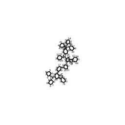 c1ccc(N(c2ccccc2)c2cc(-c3cccc(-c4cccc(-c5cc(N(c6ccccc6)c6ccc([Si](c7ccccc7)(c7ccccc7)c7ccccc7)cc6)cc6c5sc5ccccc56)c4)c3)c3sc4ccccc4c3c2)cc1